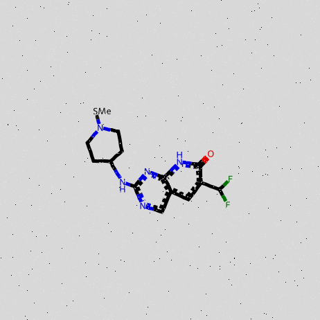 CSN1CCC(Nc2ncc3cc(C(F)F)c(=O)[nH]c3n2)CC1